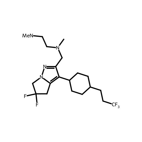 CNCCN(C)Cc1nn2c(c1C1CCC(CCC(F)(F)F)CC1)CC(F)(F)C2